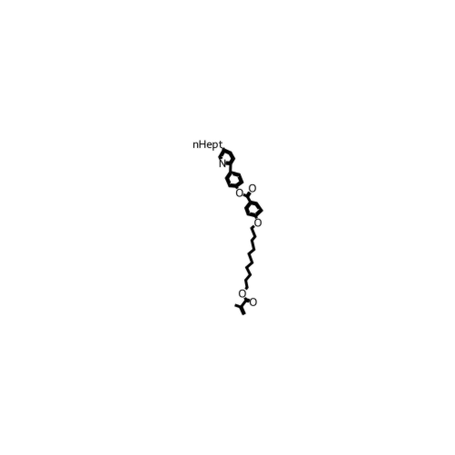 C=C(C)C(=O)OCCCCCCCCCCOc1ccc(C(=O)Oc2ccc(-c3ccc(CCCCCCC)cn3)cc2)cc1